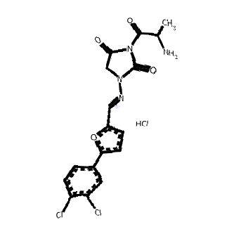 CC(N)C(=O)N1C(=O)CN(/N=C/c2ccc(-c3ccc(Cl)c(Cl)c3)o2)C1=O.Cl